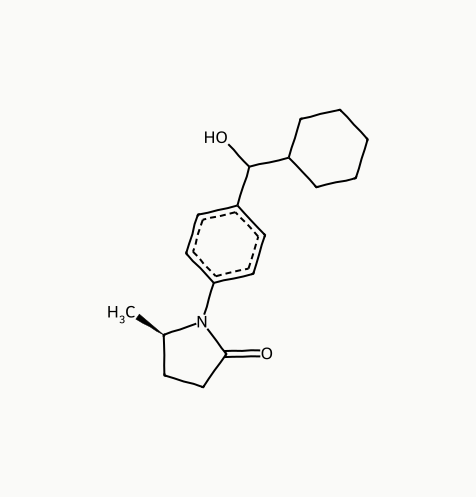 C[C@@H]1CCC(=O)N1c1ccc(C(O)C2CCCCC2)cc1